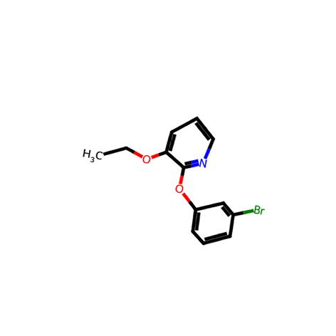 CCOc1cccnc1Oc1cccc(Br)c1